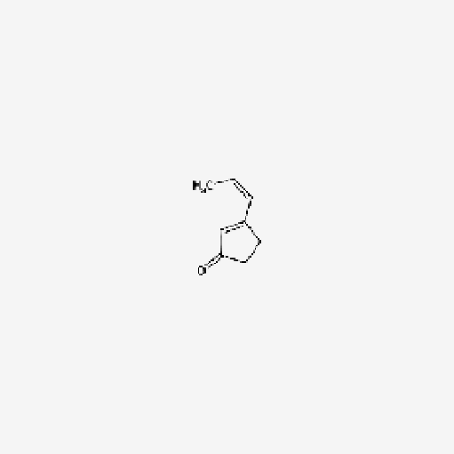 C/C=C\C1=CC(=O)CC1